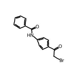 O=C(CBr)c1ccc(NC(=O)c2ccccc2)cc1